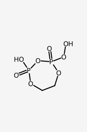 O=P1(O)OCCOP(=O)(OO)O1